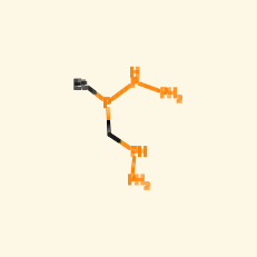 CCP(CPP)PP